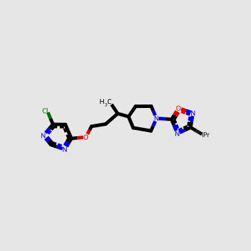 CC(C)c1noc(N2CCC(C(C)CCOc3cc(Cl)ncn3)CC2)n1